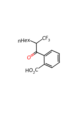 CCCCCCC(C(=O)c1ccccc1C(=O)O)C(F)(F)F